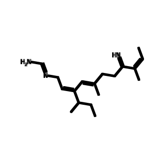 C/C=C(/C)C(=N)CC/C(C)=C/C(=C\C/N=C/N)C(C)CC